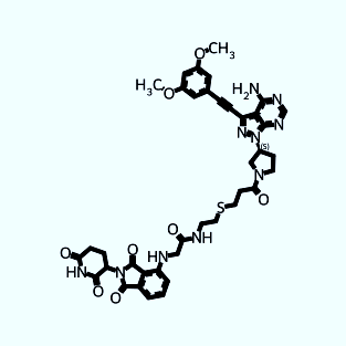 COc1cc(C#Cc2nn([C@H]3CCN(C(=O)CCSCCNC(=O)CNc4cccc5c4C(=O)N(C4CCC(=O)NC4=O)C5=O)C3)c3ncnc(N)c23)cc(OC)c1